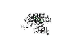 CCCc1ccc2c(c1-c1ccccc1C(C)C)C=C(C)[CH]2[Zr]([Cl])([Cl])([c]1cccc2c1[SiH2]c1ccccc1-2)[CH]1C(C)=Cc2c1ccc(CCC)c2-c1ccccc1C(C)C